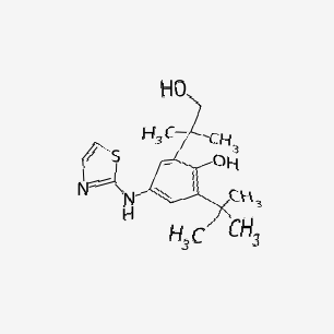 CC(C)(C)c1cc(Nc2nccs2)cc(C(C)(C)CO)c1O